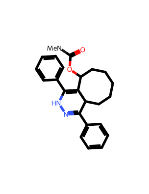 CNC(=O)OC1CCCCCC2C(c3ccccc3)=NNC(c3ccccc3)=C12